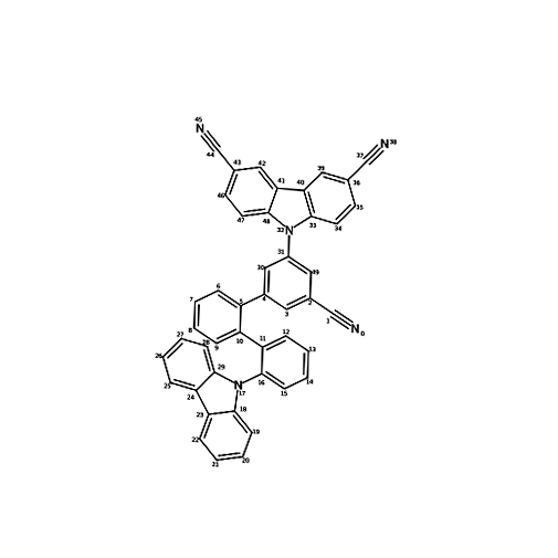 N#Cc1cc(-c2ccccc2-c2ccccc2-n2c3ccccc3c3ccccc32)cc(-n2c3ccc(C#N)cc3c3cc(C#N)ccc32)c1